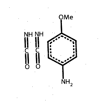 COc1ccc(N)cc1.N=C=O.N=C=O